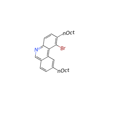 CCCCCCCCc1ccc2cnc3ccc(CCCCCCCC)c(Br)c3c2c1